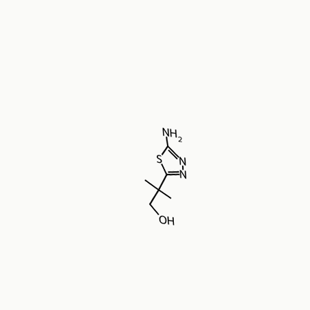 CC(C)(CO)c1nnc(N)s1